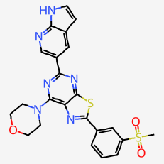 CS(=O)(=O)c1cccc(-c2nc3c(N4CCOCC4)nc(-c4cnc5[nH]ccc5c4)nc3s2)c1